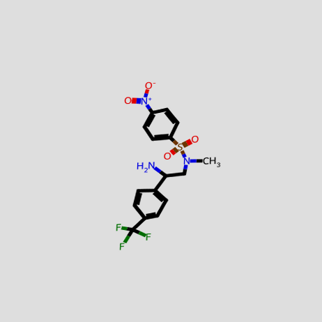 CN(CC(N)c1ccc(C(F)(F)F)cc1)S(=O)(=O)c1ccc([N+](=O)[O-])cc1